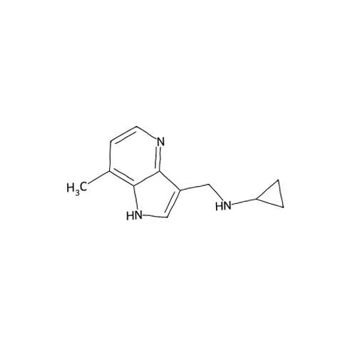 Cc1ccnc2c(CNC3CC3)c[nH]c12